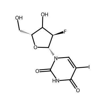 O=c1[nH]c(=O)n([C@@H]2O[C@H](CO)C(O)[C@H]2F)cc1I